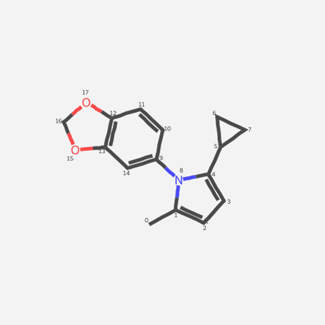 Cc1[c]cc(C2CC2)n1-c1ccc2c(c1)OCO2